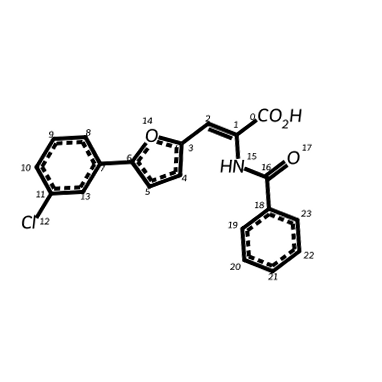 O=C(O)C(=Cc1ccc(-c2cccc(Cl)c2)o1)NC(=O)c1ccccc1